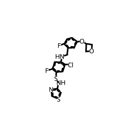 Fc1ccc(OC2COC2)cc1CNc1cc(F)c(SNc2cscn2)cc1Cl